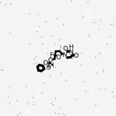 C[C@H]1C[C@@](F)(COP(=O)(I)Oc2ccccc2)O[C@H]1n1ccc(=O)[nH]c1=O